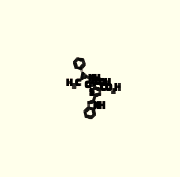 C[C@H]1[C@H](NS(=O)(=O)c2ccc(-c3cc4ccccc4[nH]3)s2)[C@H]1c1ccccc1.O=C(O)O